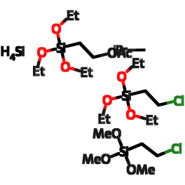 CC(C)C.CCO[Si](CCCl)(OCC)OCC.CCO[Si](CCOC(C)=O)(OCC)OCC.CO[Si](CCCl)(OC)OC.[SiH4]